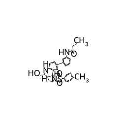 CCCC(=O)Nc1cccc(-c2ccc3c(c2)[C@H]2[C@H](CCN2S(=O)(=O)c2ccc(C)cc2)[C@H](CO)N3)c1